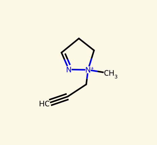 C#CC[N+]1(C)CCC=N1